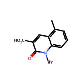 Cc1cccc2c1cc(C(=O)O)c(=O)n2C(C)C